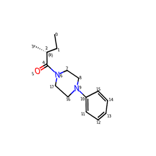 CC[C@@H](C)C(=O)N1CCN(c2ccccc2)CC1